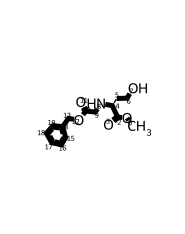 COC(=O)[C@@H](CCO)NCC(=O)OCc1ccccc1